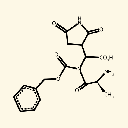 C[C@H](N)C(=O)N(C(=O)OCc1ccccc1)C(C(=O)O)C1CC(=O)NC1=O